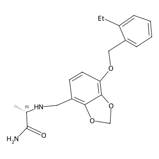 CCc1ccccc1COc1ccc(CN[C@@H](C)C(N)=O)c2c1OCO2